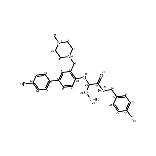 CN1CCN(Cc2cc(-c3ccc(F)cc3)ccc2OC(OC=O)C(=O)NCc2ccc(Cl)cc2)CC1